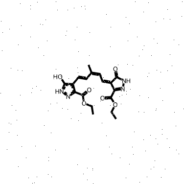 CCOC(=O)C1=NNC(=O)C1=CC=C(C)C=Cc1c(C(=O)OCC)n[nH]c1O